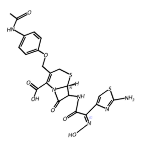 CC(=O)Nc1ccc(OCC2=C(C(=O)O)N3C(=O)C(NC(=O)/C(=N\O)c4csc(N)n4)[C@H]3SC2)cc1